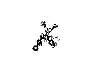 C[Si](C)(C)CCOCN(COCC[Si](C)(C)C)c1c(CN)c(C2CCS(=O)(=O)CC2)nc2c(-c3ccc(-c4ccccc4)nc3)cnn12